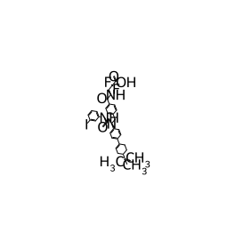 CC(C)(C)C1CC=C(c2ccc(N(Cc3ccc(C(=O)NCC(F)(F)C(=O)O)cc3)C(=O)Nc3cccc(I)c3)cc2)CC1